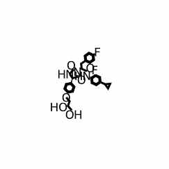 O=C(Nc1ccc(C2CC2)cc1F)C(Cc1ccc(F)cc1)N1C(=O)N[C@H](c2ccc(OC[C@@H](O)CO)cc2)C1=O